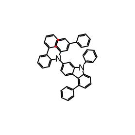 c1ccc(-c2cccc(N(c3ccc4c5c(-c6ccccc6)cccc5n(-c5ccccc5)c4c3)c3ccccc3-c3ccccc3)c2)cc1